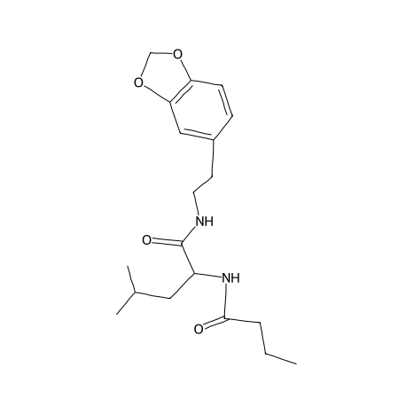 CCCC(=O)NC(CC(C)C)C(=O)NCCc1ccc2c(c1)OCO2